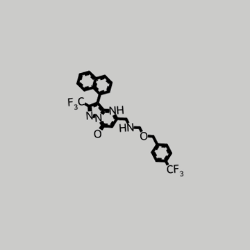 O=c1cc(CNCOCc2ccc(C(F)(F)F)cc2)[nH]c2c(-c3cccc4ccccc34)c(C(F)(F)F)nn12